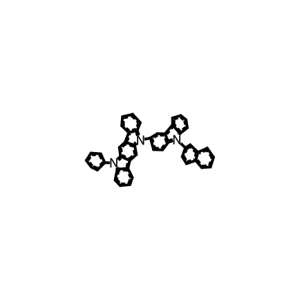 c1ccc(-n2c3ccccc3c3cc4c(cc32)c2ccccc2n4-c2ccc3c(c2)c2ccccc2n3-c2ccc3ccccc3c2)cc1